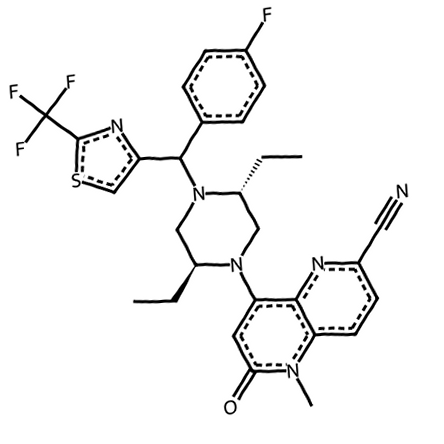 CC[C@H]1CN(C(c2ccc(F)cc2)c2csc(C(F)(F)F)n2)[C@H](CC)CN1c1cc(=O)n(C)c2ccc(C#N)nc12